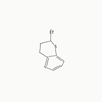 CCC1C[CH]c2ccccc2S1